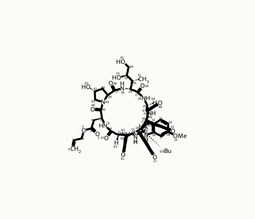 C=CCOC(=O)C[C@@H]1NC(=O)[C@H]2CSc3[nH]c4cc(OC)ccc4c3C[C@H](NC(=O)[C@@H]([C@@H](C)[C@@H](O)CO)NC(=O)C3C[C@@H](O)CN3C1=O)C(=O)NCC(=O)N[C@H]([C@@H](C)CC)C(=O)NCC(=O)N2